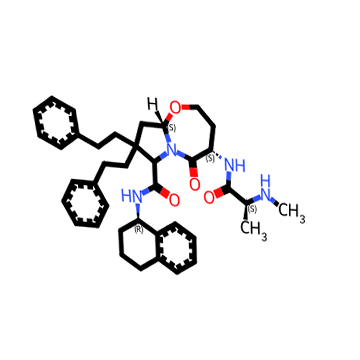 CN[C@@H](C)C(=O)N[C@H]1CCO[C@H]2CC(CCc3ccccc3)(CCc3ccccc3)C(C(=O)N[C@@H]3CCCc4ccccc43)N2C1=O